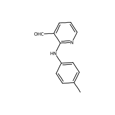 Cc1ccc(Nc2ncccc2C=O)cc1